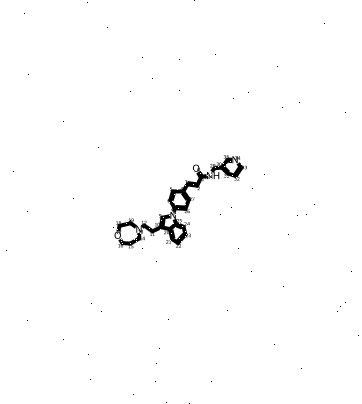 O=C(C=Cc1ccc(-n2cc(CCN3CCCOCC3)c3ccccc32)cc1)NCc1cccnc1